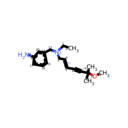 CCN(C/C=C/C#CC(C)(C)OC)Cc1cccc(N)c1